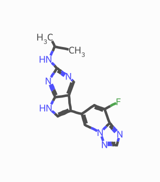 CC(C)Nc1ncc2c(-c3cc(F)c4ncnn4c3)c[nH]c2n1